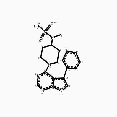 CN(C1CCN(c2ncnc3scc(-c4ccccc4)c23)CC1)S(N)(=O)=O